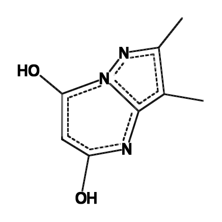 Cc1nn2c(O)cc(O)nc2c1C